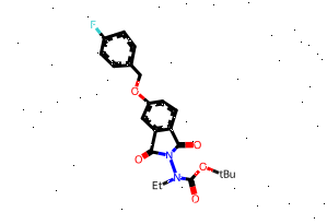 CCN(C(=O)OC(C)(C)C)N1C(=O)c2ccc(OCc3ccc(F)cc3)cc2C1=O